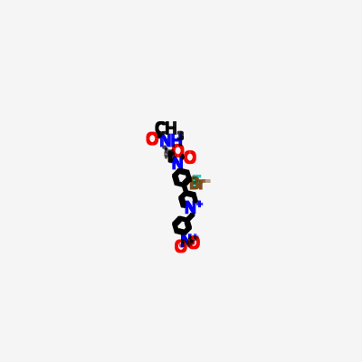 CC(=O)NC[C@H]1CN(c2ccc(-c3cc[n+](Cc4cccc([N+](=O)[O-])c4)cc3)c(F)c2)C(=O)O1.[Br-]